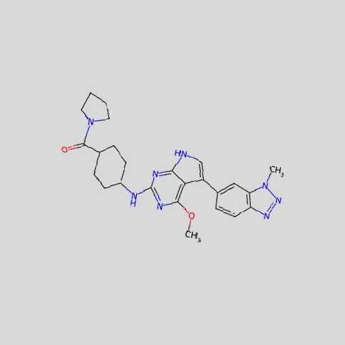 COc1nc(NC2CCC(C(=O)N3CCCC3)CC2)nc2[nH]cc(-c3ccc4nnn(C)c4c3)c12